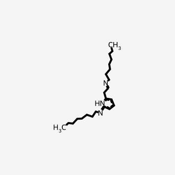 CCCCCCCCN=CCc1cccc(=NCCCCCCCC)[nH]1